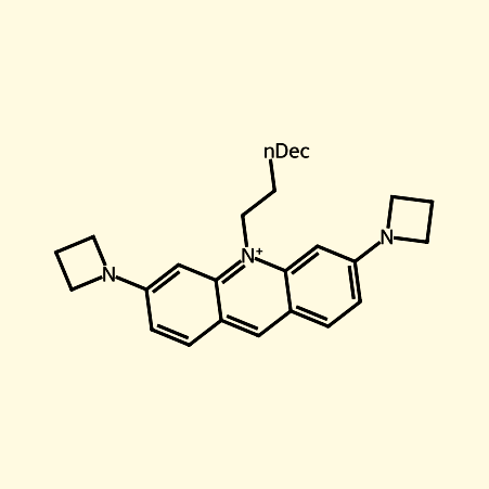 CCCCCCCCCCCC[n+]1c2cc(N3CCC3)ccc2cc2ccc(N3CCC3)cc21